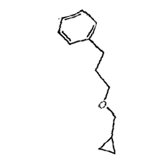 [c]1ccc(CCCOCC2CC2)cc1